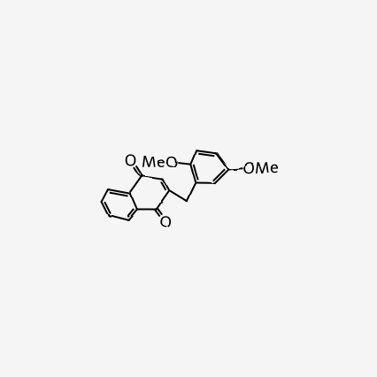 COc1ccc(OC)c(CC2=CC(=O)c3ccccc3C2=O)c1